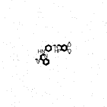 COc1cc(F)c(CNC[C@H]2CC[C@@H](Nc3cc(N(C)C)c4ccccc4n3)CC2)cc1OC